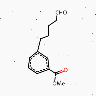 COC(=O)c1cccc(CCCCC=O)c1